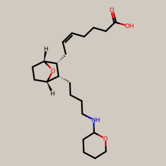 O=C(O)CCC/C=C\C[C@@H]1[C@H](CCCCNC2CCCCO2)[C@@H]2CC[C@H]1O2